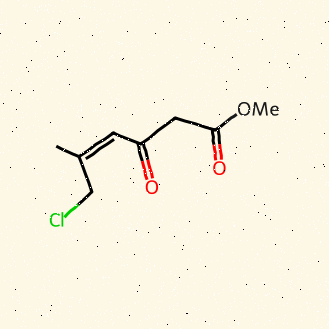 COC(=O)CC(=O)C=C(C)CCl